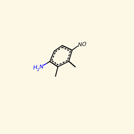 Cc1c(N)ccc(N=O)c1C